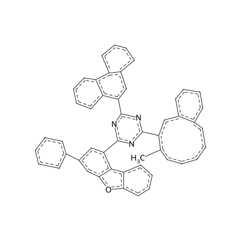 Cc1cccccc2ccccc2cc1-c1nc(-c2cc3ccccc3c3ccccc23)nc(-c2cc(-c3ccccc3)cc3oc4ccccc4c23)n1